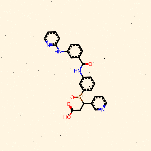 O=C(O)CC(c1cccnc1)[S+]([O-])c1cccc(NC(=O)c2cccc(Nc3ccccn3)c2)c1